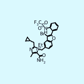 CC[N+]1(Cc2ccc3oc(-c4ccccc4NS(=O)(=O)C(F)(F)F)c(Br)c3c2)C(CC2CC2)=NC(C)=C1C(N)=O